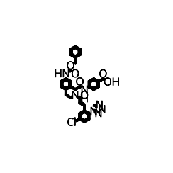 O=C(Nc1ccc2c(c1)C(C(=O)Nc1ccc(C(=O)O)cc1)N(C(=O)/C=C/c1cc(Cl)ccc1-n1cnnn1)CC2)OCc1ccccc1